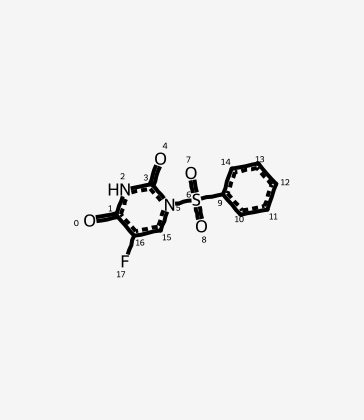 O=c1[nH]c(=O)n(S(=O)(=O)c2ccccc2)cc1F